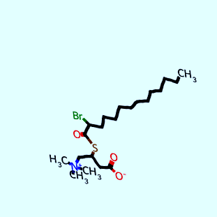 CCCCCCCCCCCCC(Br)C(=O)SC(CC(=O)[O-])C[N+](C)(C)C